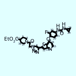 CCOC(=O)C1CCN(C(=O)Cn2cc(-c3cc4nccc(Oc5ccc(NC(=O)NC6CC6)cc5F)c4s3)nn2)CC1